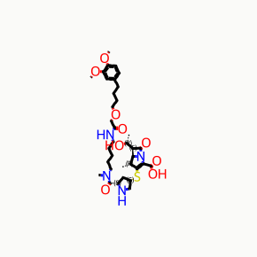 COc1ccc(CCCCOCC(=O)NCCCCCN(C)C(=O)[C@@H]2C[C@H](SC3=C(C(=O)O)N4C(=O)[C@H]([C@@H](C)O)C4[C@H]3C)CN2)cc1OC